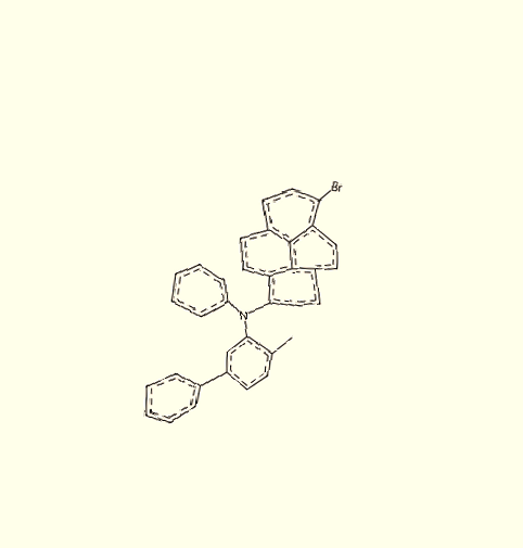 Cc1ccc(-c2ccccc2)cc1N(c1ccccc1)c1ccc2ccc3c(Br)ccc4ccc1c2c43